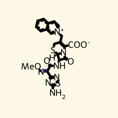 CO/N=C(\C(=O)NC1C(=O)N2C(C(=O)[O-])=C(C[n+]3ccc4ccccc4c3)CS[C@H]12)c1nsc(N)n1